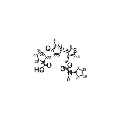 Cc1nc(-c2csc(C)c2COC(=O)N(C)C2CCCC2)ccc1O[C@H]1CCC[C@H](C(=O)O)C1